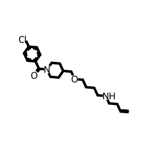 C=CCCNCCCCOCC1CCN(C(=O)c2ccc(Cl)cc2)CC1